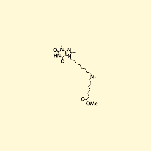 COC(=O)CCCCCCN(C)CCCCCCCCn1c(C)nc2c1c(=O)[nH]c(=O)n2C